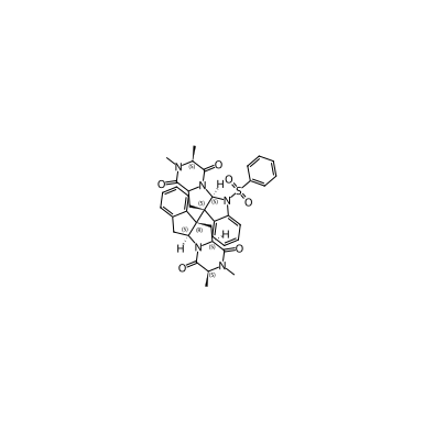 C[C@H]1C(=O)N2C(C[C@]3([C@]45C[C@H]6C(=O)N(C)[C@@H](C)C(=O)N6[C@H]4Cc4ccccc45)c4ccccc4N(S(=O)(=O)c4ccccc4)[C@H]23)C(=O)N1C